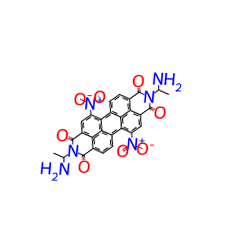 CC(N)N1C(=O)c2ccc3c4c([N+](=O)[O-])cc5c6c(ccc(c7c([N+](=O)[O-])cc(c2c37)C1=O)c64)C(=O)N(C(C)N)C5=O